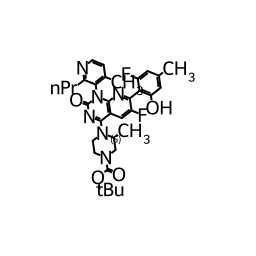 CCCc1nccc(C)c1-n1c(=O)nc(N2CCN(C(=O)OC(C)(C)C)C[C@@H]2C)c2cc(F)c(-c3c(O)cc(C)cc3F)nc21